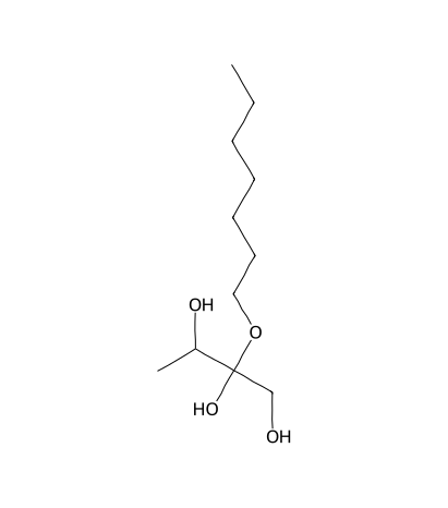 CCCCCCCOC(O)(CO)C(C)O